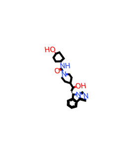 O=C(N[C@H]1CC[C@H](O)CC1)N1CCC(C(O)C[C@H]2c3ccccc3-c3cncn32)CC1